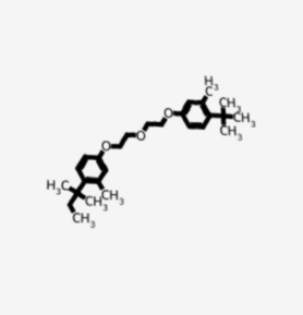 CCC(C)(C)c1ccc(OCCOCCOc2ccc(C(C)(C)C)c(C)c2)cc1C